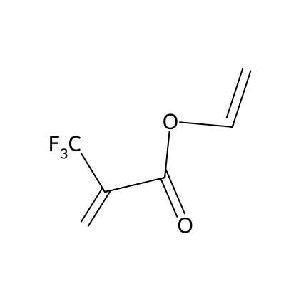 C=COC(=O)C(=C)C(F)(F)F